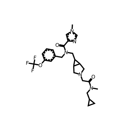 CN(CC1CC1)C(=O)CN1CC2C(C1)C2CN(Cc1cccc(OC(F)(F)F)c1)C(=O)c1cn(C)cn1